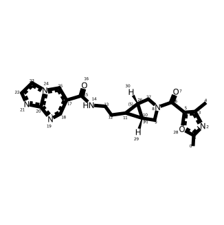 Cc1nc(C)c(C(=O)N2C[C@@H]3C(CCNC(=O)c4cnc5nccn5c4)[C@@H]3C2)o1